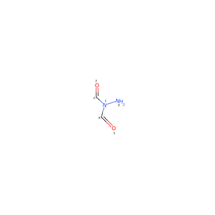 NN([C]=O)[C]=O